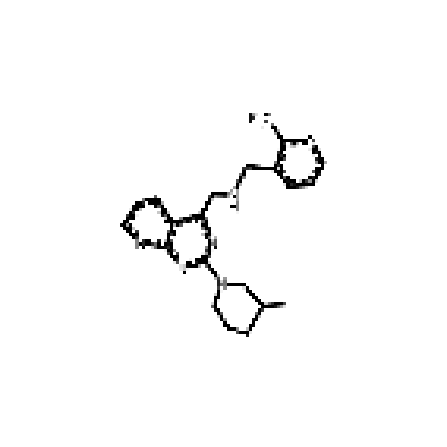 CC1CCCN(c2nc(CNCc3cccnc3C(F)(F)F)c3cccnc3n2)C1